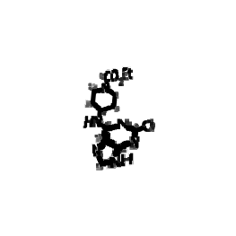 CCOC(=O)N1CCC(Nc2nc(Cl)nc3[nH]cnc23)CC1